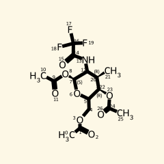 CC(=O)OCC1O[C@@H](OC(C)=O)C(NC(=O)C(F)(F)F)[C@@H](C)[C@H]1OC(C)=O